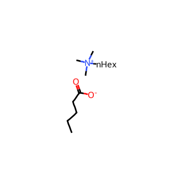 CCCCC(=O)[O-].CCCCCC[N+](C)(C)C